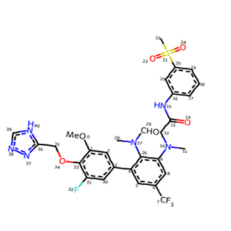 COc1cc(-c2cc(C(F)(F)F)cc(N(C)CC(=O)Nc3cccc(S(C)(=O)=O)c3)c2N(C)C=O)cc(F)c1OCc1nnc[nH]1